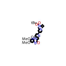 COc1cc(N(C)C(=O)c2cc3nc(-c4ccnc(CN(C(=O)OC(C)(C)C)C5CCC5)c4)ccc3[nH]2)cc(OC)c1OC